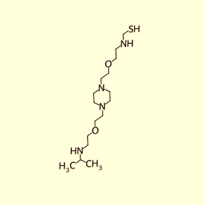 CC(C)NCCOCCN1CCN(CCOCCNCS)CC1